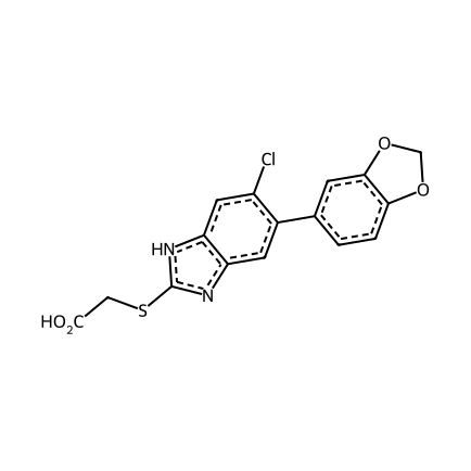 O=C(O)CSc1nc2cc(-c3ccc4c(c3)OCO4)c(Cl)cc2[nH]1